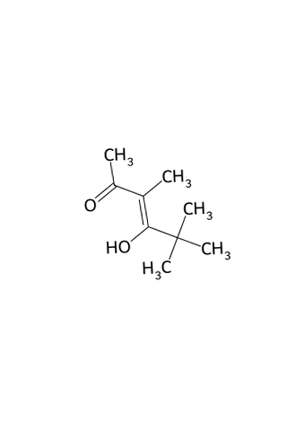 CC(=O)/C(C)=C(\O)C(C)(C)C